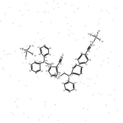 CCP(c1ccccc1)c1ccccc1.F[B-](F)(F)F.F[B-](F)(F)F.N#Cc1ccccc1.N#Cc1ccccc1.[Pd+2][P](c1ccccc1)c1ccccc1